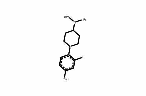 CCCN(CCC)C1CCN(c2ccc(C(C)(C)C)cc2F)CC1